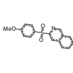 COc1ccc(S(=O)(=O)c2cc3ccccc3cn2)cc1